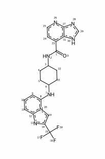 O=C(NC1CCC(Nc2cccc3nc(C(F)(F)F)cn23)CC1)c1ccnc2nc[nH]c12